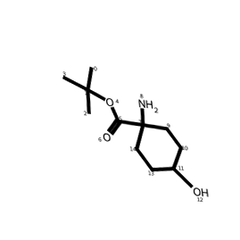 CC(C)(C)OC(=O)C1(N)CCC(O)CC1